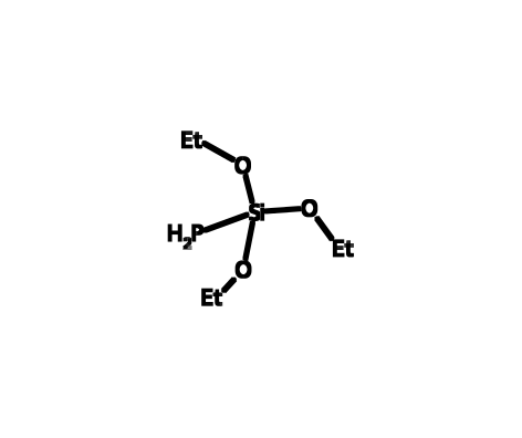 CCO[Si](P)(OCC)OCC